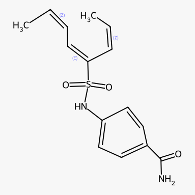 C\C=C/C=C(\C=C/C)S(=O)(=O)Nc1ccc(C(N)=O)cc1